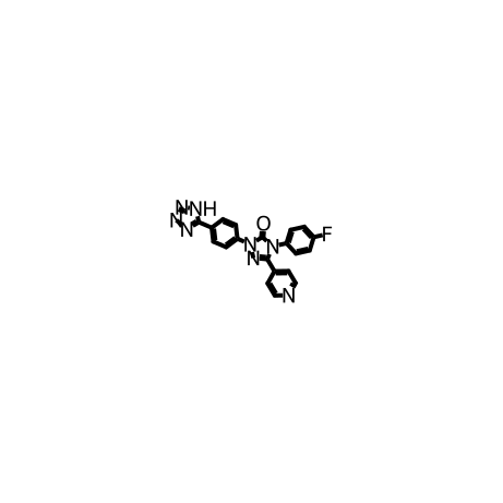 O=c1n(-c2ccc(-c3nnn[nH]3)cc2)nc(-c2ccncc2)n1-c1ccc(F)cc1